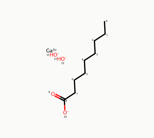 CCCCCCCCC(=O)[O-].[Ga+3].[OH-].[OH-]